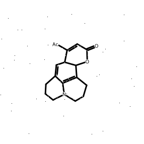 CC(=O)C1=CC(=O)OC2C3=C4C(=CC12)CCCN4CCC3